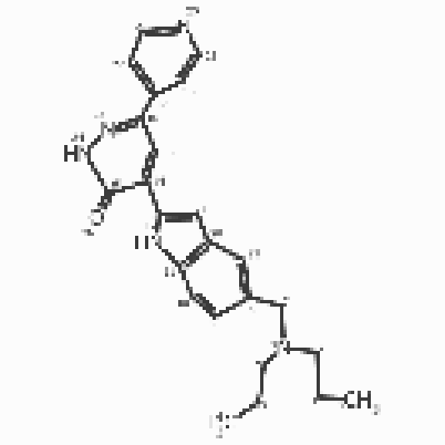 CCCN(CCC)Cc1ccc2[nH]c(-c3cc(-c4ccncc4)n[nH]c3=O)cc2c1